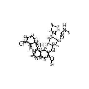 CNC(=O)[C@H]1CCCN1[C@H]1CC[C@H](Oc2cc3c(Nc4cccc(Cl)c4F)ncnc3cc2OC)CC1